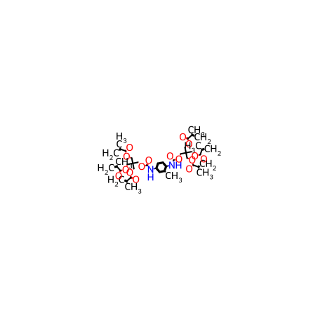 C=C(C)C(=O)OCC(COC(=O)Nc1ccc(NC(=O)OCC(COC(=O)C(=C)C)(COC(=O)C(=C)C)COC(=O)C(=C)C)c(C)c1)(COC(=O)C(=C)C)COC(=O)C(=C)C